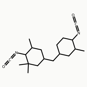 CC1CC(CC2CC(C)C(N=C=O)C(C)(C)C2)CCC1N=C=O